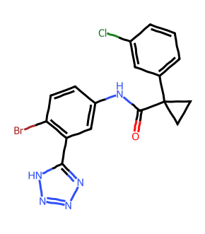 O=C(Nc1ccc(Br)c(-c2nnn[nH]2)c1)C1(c2cccc(Cl)c2)CC1